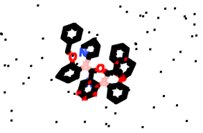 c1ccc(COc2ccccc2B(c2ccccn2)C(OC(B(c2ccccn2)c2ccccc2OCc2ccccc2)c2ccccc2)c2ccccc2)cc1